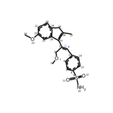 COC/C(=C\c1ccc(S(N)(=O)=O)cc1)C1=C(C)Cc2ccc(OC)cc21